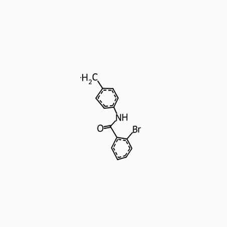 [CH2]c1ccc(NC(=O)c2ccccc2Br)cc1